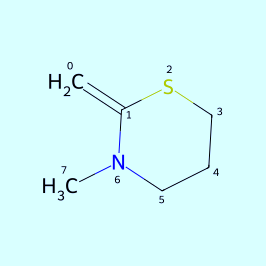 C=C1SCCCN1C